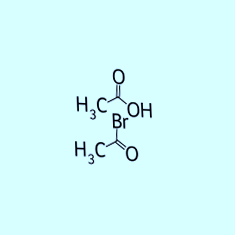 CC(=O)Br.CC(=O)O